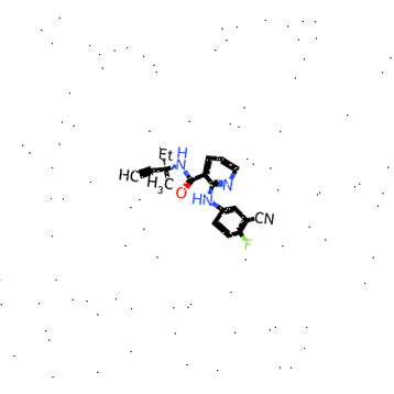 C#C[C@@](C)(CC)NC(=O)c1cccnc1Nc1ccc(F)c(C#N)c1